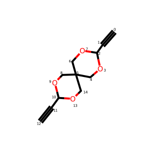 C#CC1OCC2(CO1)COC(C#C)OC2